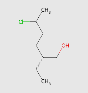 CC[C@@H](CO)CCC(C)Cl